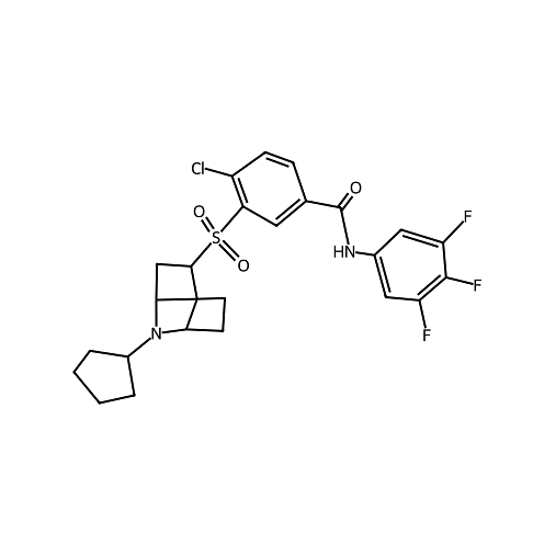 O=C(Nc1cc(F)c(F)c(F)c1)c1ccc(Cl)c(S(=O)(=O)C2CC3N(C4CCCC4)C4CCC432)c1